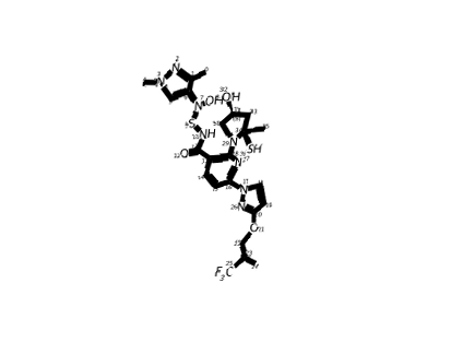 Cc1nn(C)cc1N(O)SNC(=O)c1ccc(-n2ccc(OCC(C)C(F)(F)F)n2)nc1N1C[C@@H](O)CC1(C)S